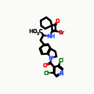 O=C(O)C(Cc1ccc2c(c1)CCN2C(=O)c1c(Cl)cncc1Cl)NC1=C(Br)C(=O)C12CCCCC2